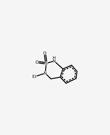 CCN1Cc2ccccc2NS1(=O)=O